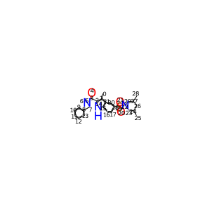 Cc1c(C(=O)N(C)Cc2ccccc2)[nH]c2ccc(S(=O)(=O)N3CC(C)CC(C)C3)cc12